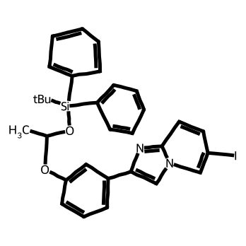 CC(Oc1cccc(-c2cn3cc(I)ccc3n2)c1)O[Si](c1ccccc1)(c1ccccc1)C(C)(C)C